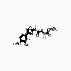 CCCc1ccc(-c2csc(NC(=O)CNC(=O)OC(C)(C)C)n2)cc1C(C)=O